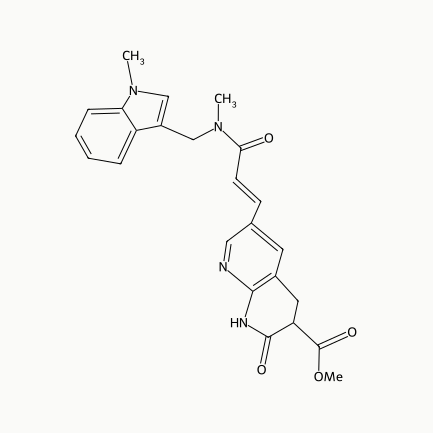 COC(=O)C1Cc2cc(/C=C/C(=O)N(C)Cc3cn(C)c4ccccc34)cnc2NC1=O